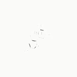 CCC(NC(=O)O)c1ncc(Cl)cc1CCl